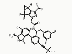 Cn1nc(N)c2c(Cl)ccc(-c3ccc(C#CC(C)(C)O)nc3[C@H](Cc3cc(F)cc(F)c3)NC(=O)Cn3nc(C(F)F)c4c3C(F)(F)C3C[C@H]43)c21